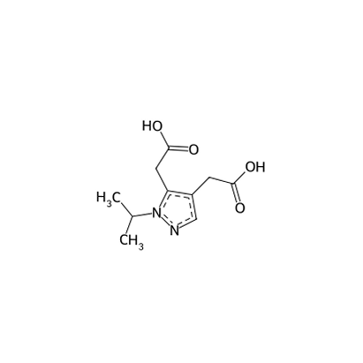 CC(C)n1ncc(CC(=O)O)c1CC(=O)O